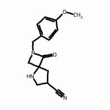 COc1ccc(CN2CC3(CC(C#N)CN3)C2=O)cc1